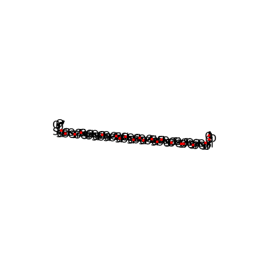 C=COC(=O)OC[Si](C)(C)O[Si](C)(C)OO[Si](C)(C)OO[Si](C)(C)OO[Si](C)(C)OO[Si](C)(C)OO[Si](C)(C)OO[Si](C)(C)OO[Si](C)(C)OO[Si](C)(C)OO[Si](C)(C)OO[Si](C)(C)OO[Si](C)(C)OO[Si](C)(C)OO[Si](C)(C)OO[Si](C)(C)OO[Si](C)(C)OO[Si](C)(C)OO[Si](C)(C)OO[Si](C)(C)OO[Si](C)(C)OO[Si](C)(C)OO[Si](C)(C)OO[Si](C)(C)OO[Si](C)(C)OO[Si](C)(C)O[Si](C)(C)COC(=O)OC=C